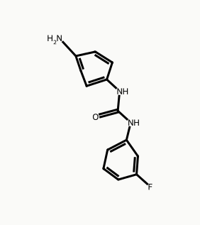 Nc1ccc(NC(=O)Nc2cccc(F)c2)cc1